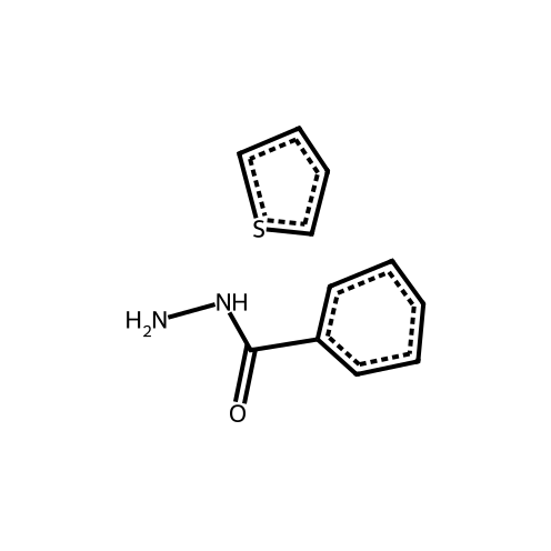 NNC(=O)c1ccccc1.c1ccsc1